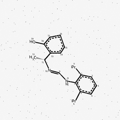 CC(C)c1cccc(C(C)C)c1N/C=N/[C@H](C)c1ccccc1O